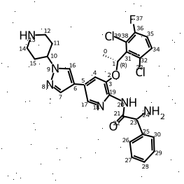 C[C@@H](Oc1cc(-c2cnn(C3CCNCC3)c2)cnc1NC(=O)C(N)c1ccccc1)c1c(Cl)ccc(F)c1Cl